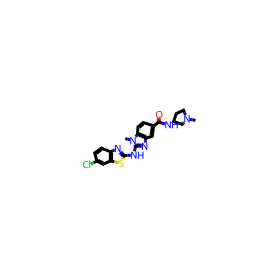 CN1CC[C@@H](NC(=O)c2ccc3c(c2)nc(Nc2nc4ccc(Cl)cc4s2)n3C)C1